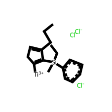 CCCC1=CC[C]([Ti+3])=C1[Si](C)(CC)c1ccccc1.[Cl-].[Cl-].[Cl-]